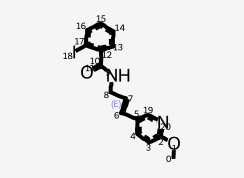 COc1ccc(/C=C/CNC(=O)c2ccccc2I)cn1